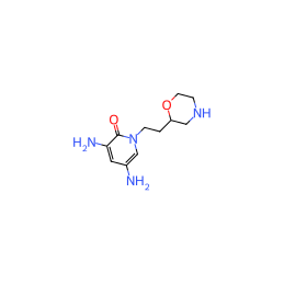 Nc1cc(N)c(=O)n(CCC2CNCCO2)c1